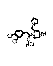 Cl.O=C(Cc1ccc(Cl)c(Cl)c1)N1CCNCC1CN1CCCC1